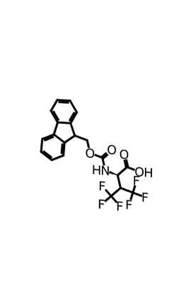 O=C(N[C@@H](C(=O)O)C(C(F)(F)F)C(F)(F)F)OCC1c2ccccc2-c2ccccc21